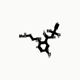 C#CC(CC)(CC)NC(=O)c1cc(Cl)ccc1NCCOC